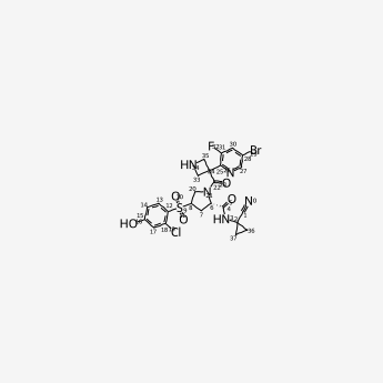 N#CC1(NC(=O)[C@@H]2CC(S(=O)(=O)c3ccc(O)cc3Cl)CN2C(=O)C2(c3ncc(Br)cc3F)CNC2)CC1